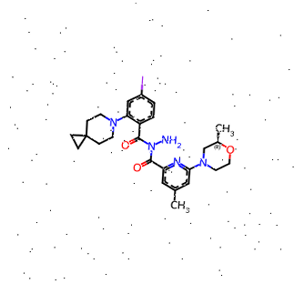 Cc1cc(C(=O)N(N)C(=O)c2ccc(I)cc2N2CCC3(CC2)CC3)nc(N2CCO[C@H](C)C2)c1